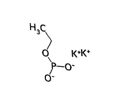 CCOP([O-])[O-].[K+].[K+]